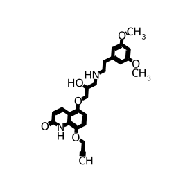 C#CCOc1ccc(OCC(O)CNCCc2cc(OC)cc(OC)c2)c2ccc(=O)[nH]c12